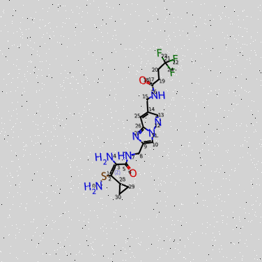 NS/C(=C(\N)C(=O)NCc1cn2ncc(CNC(=O)CCC(F)(F)F)cc2n1)C1CC1